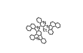 CCc1c(-n2c3ccccc3c3c4ccccc4ccc32)nc2ccccc2c1-n1c2ccc3ccccc3c2c2c3c4ccccc4n4c5ccccc5c(cc21)c34